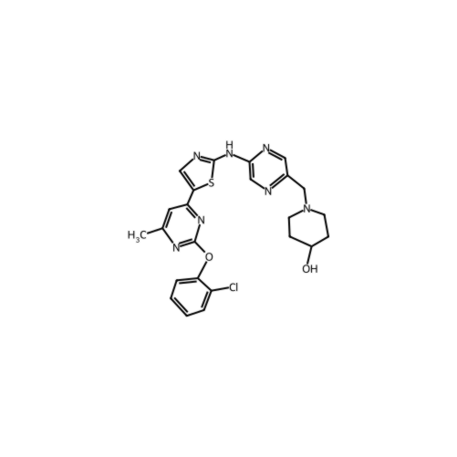 Cc1cc(-c2cnc(Nc3cnc(CN4CCC(O)CC4)cn3)s2)nc(Oc2ccccc2Cl)n1